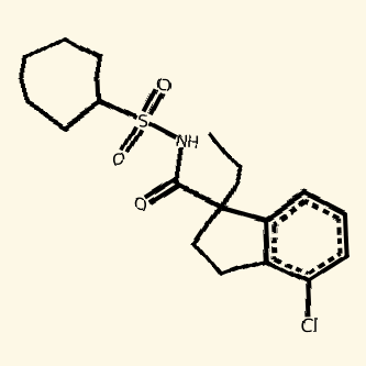 CCC1(C(=O)NS(=O)(=O)C2CCCCC2)CCc2c(Cl)cccc21